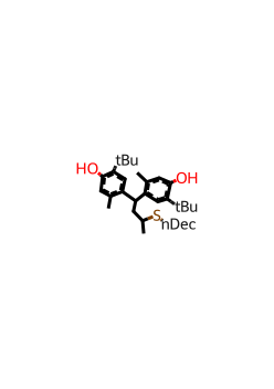 CCCCCCCCCCSC(C)CC(c1cc(C(C)(C)C)c(O)cc1C)c1cc(C(C)(C)C)c(O)cc1C